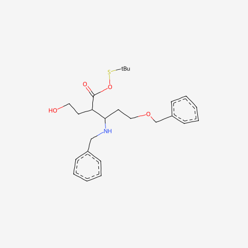 CC(C)(C)SOC(=O)C(CCO)C(CCOCc1ccccc1)NCc1ccccc1